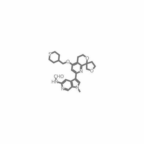 Cn1cc(-c2cc(OCC3CCSCC3)c3c(n2)C2(CCOC2)OCC3)c2cc(NC=O)ncc21